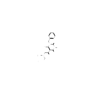 CCn1c(=O)c(C(=O)CN(CC(=O)O)C(C)C)c(N)n(Cc2ccccc2)c1=O